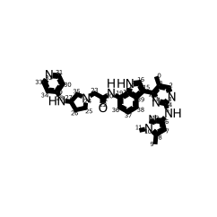 Cc1cnc(Nc2cc(C)n(C)n2)nc1-c1c[nH]c2c(NC(=O)CN3CCC(Nc4ccncc4)C3)cccc12